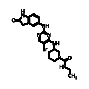 CCNC(=O)N1CCCC(Nc2nc(Nc3ccc4c(c3)CC(=O)N4)ncc2Br)C1